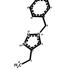 [CH2]Cc1cn(Cc2ccccc2)nn1